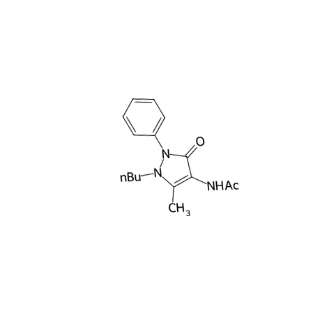 CCCCn1c(C)c(NC(C)=O)c(=O)n1-c1ccccc1